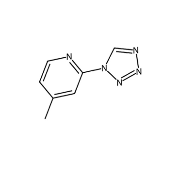 Cc1ccnc(-n2cnnn2)c1